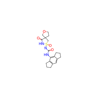 O=C(N=S1(=O)CC2(CCOC2)C(=O)N1)Nc1c2c(cc3c1CCC3)CCC2